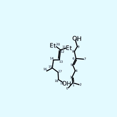 CC(C)=CC/C=C(\C)CCO.CCC(=CCC(C)CCO)CC